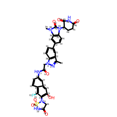 Cc1nn(CC(=O)Nc2ccc3c(F)c(N4CC(=O)NS4(=O)=O)c(O)cc3c2)c2ccc(-c3ccc4c(c3)n(C)c(=O)n4C3CCC(=O)NC3=O)cc12